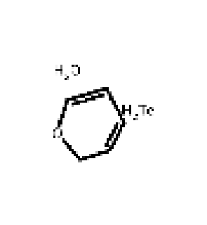 C1=CCOC=C1.O.[TeH2]